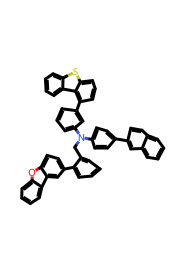 c1cc(-c2cccc3sc4ccccc4c23)cc(N(Cc2ccccc2-c2ccc3oc4ccccc4c3c2)c2ccc(-c3ccc4ccccc4c3)cc2)c1